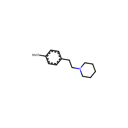 COc1ccc(CCN2CCCCC2)cc1